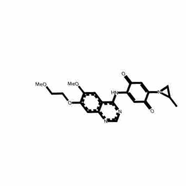 COCCOc1cc2ncnc(NC3=CC(=O)C(N4CC4C)=CC3=O)c2cc1OC